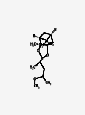 COC(C)C[C@@H](C)B1OC2C[C@@H]3C[C@@H](C3(C)C)[C@]2(C)O1